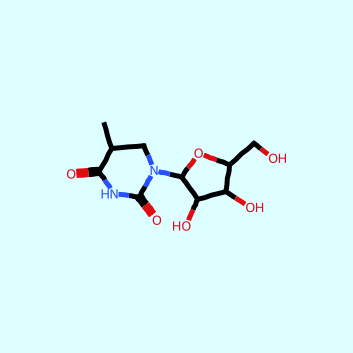 CC1CN(C2OC(CO)C(O)C2O)C(=O)NC1=O